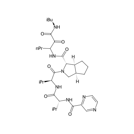 CCCC(NC(=O)[C@@H]1[C@H]2CCC[C@H]2CN1C(=O)[C@@H](NC(=O)[C@H](NC(=O)c1cnccn1)C(C)C)C(C)C)C(=O)C(=O)N[C@H](C)CC